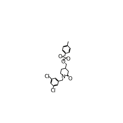 Cc1ccc(S(=O)(=O)OCC2CCN(Cc3cc(Cl)cc(Cl)c3)C(=O)C2)cc1